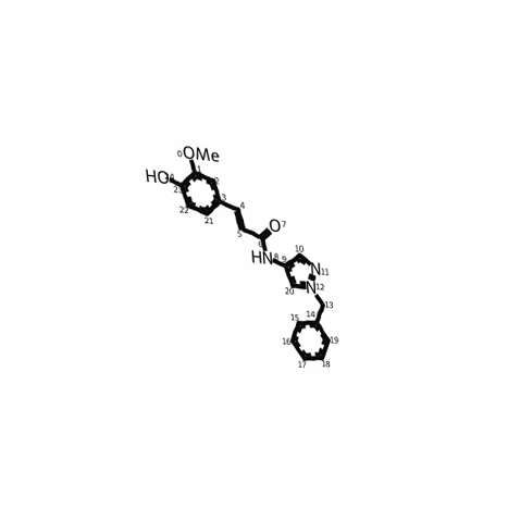 COc1cc(/C=C/C(=O)Nc2cnn(Cc3ccccc3)c2)ccc1O